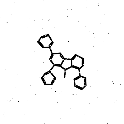 Cn1c2c(-c3ccccc3)cccc2c2cc(-c3ccccc3)cc(-c3ccccc3)c21